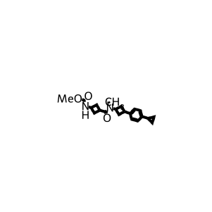 COC(=O)NC1CC(C(=O)N(C)C2CC(c3ccc(C4CC4)cc3)C2)C1